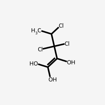 CC(Cl)C(Cl)(Cl)C(O)=C(O)O